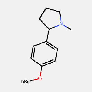 CCCCOc1ccc(C2CCCN2C)cc1